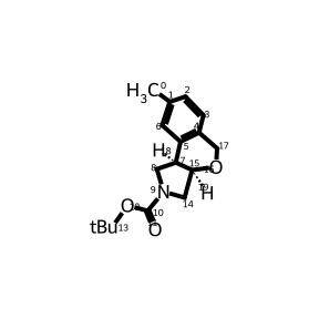 Cc1ccc2c(c1)[C@@H]1CN(C(=O)OC(C)(C)C)C[C@@H]1OC2